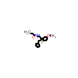 CCCC(=O)NCCc1c(Cc2ccccc2)sc2ccc(OC)cc12